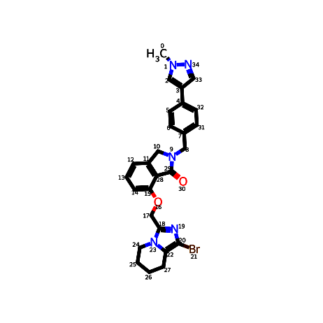 Cn1cc(-c2ccc(CN3Cc4cccc(OCc5nc(Br)c6n5CCCC6)c4C3=O)cc2)cn1